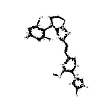 COc1nc(C=Cc2nc3n(n2)CCCC3c2c(F)cc(F)cc2F)ccc1-n1cnc(C)c1